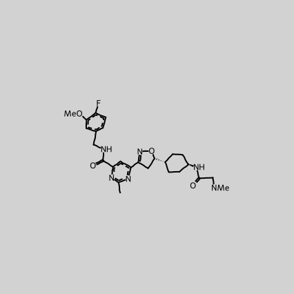 CNCC(=O)N[C@H]1CC[C@H](C2CC(c3cc(C(=O)NCc4ccc(F)c(OC)c4)nc(C)n3)=NO2)CC1